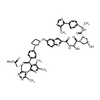 COC(=O)C[C@@H]1N=C(c2ccc(N3CC[C@H](Oc4ccc5oc(C(=O)NC(C(=O)N6C[C@H](O)C[C@H]6C(=O)N[C@@H](C)c6ccc(-c7scnc7C)cc6)C(C)(C)C)cc5c4)C3)cc2)c2c(sc(C)c2C)-n2c(C)nnc21